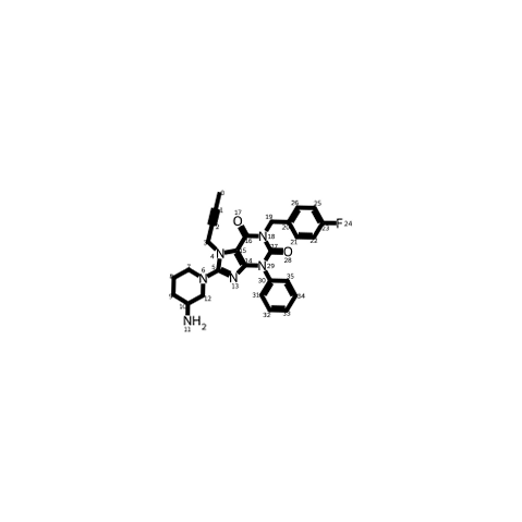 CC#CCn1c(N2CCCC(N)C2)nc2c1c(=O)n(Cc1ccc(F)cc1)c(=O)n2-c1ccccc1